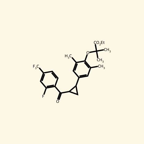 CCOC(=O)C(C)(C)Oc1c(C)cc(C2CC2C(=O)c2ccc(C(F)(F)F)cc2F)cc1C